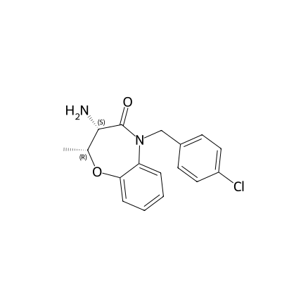 C[C@H]1Oc2ccccc2N(Cc2ccc(Cl)cc2)C(=O)[C@H]1N